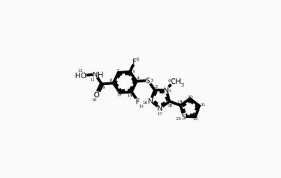 Cn1c(Sc2c(F)cc(C(=O)NO)cc2F)nnc1-c1cccs1